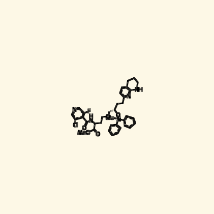 COC(=O)C(CCOC[C@H](CCc1ccc2c(n1)NCCC2)O[Si](c1ccccc1)(c1ccccc1)C(C)(C)C)NC(=O)c1c(F)cncc1Cl